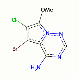 COc1c(Cl)c(Br)c2c(N)ncnn12